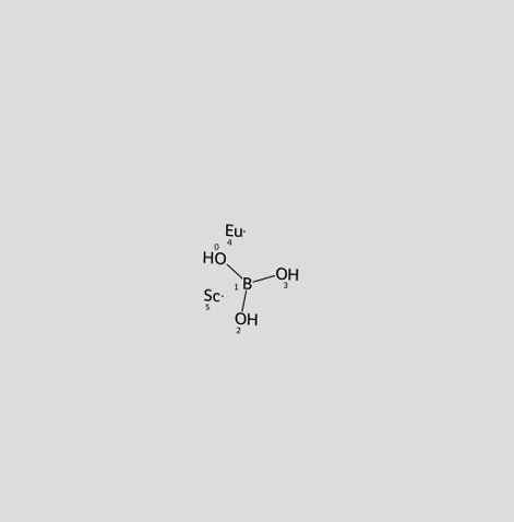 OB(O)O.[Eu].[Sc]